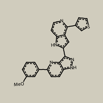 COc1cccc(-c2ccc3[nH]nc(-c4cc5c(-c6ccsc6)nccc5[nH]4)c3n2)c1